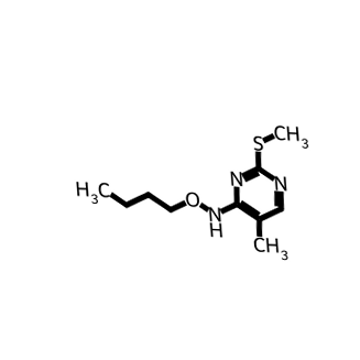 CCCCONc1nc(SC)ncc1C